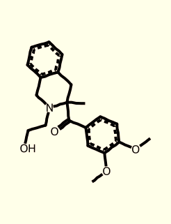 COc1ccc(C(=O)C2(C)Cc3ccccc3CN2CCO)cc1OC